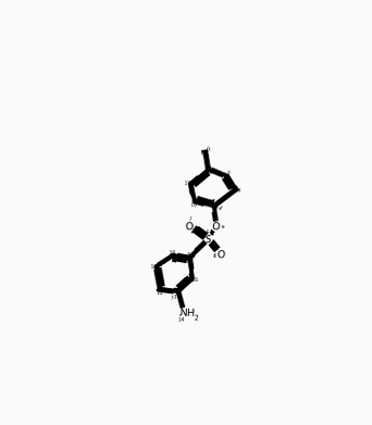 Cc1ccc(OS(=O)(=O)c2cccc(N)c2)cc1